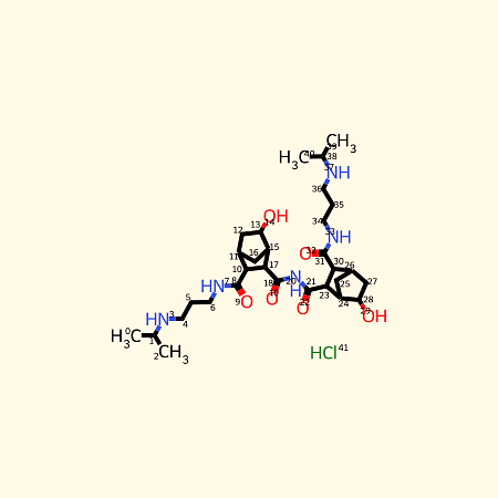 CC(C)NCCCNC(=O)C1C2CC(O)C(C2)C1C(=O)NC(=O)C1C2CC(CC2O)C1C(=O)NCCCNC(C)C.Cl